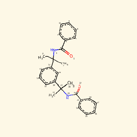 CC(C)(NC(=O)c1ccccc1)c1cccc(C(C)(C)NC(=O)c2ccccc2)c1